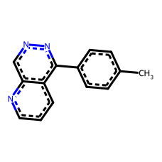 Cc1ccc(-c2nncc3ncccc23)cc1